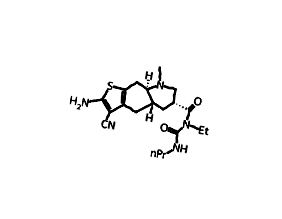 CCCNC(=O)N(CC)C(=O)[C@@H]1C[C@@H]2Cc3c(sc(N)c3C#N)C[C@H]2N(C)C1